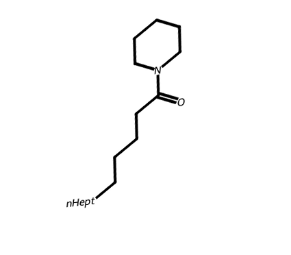 CCCCCCCCCCCC(=O)N1CCCCC1